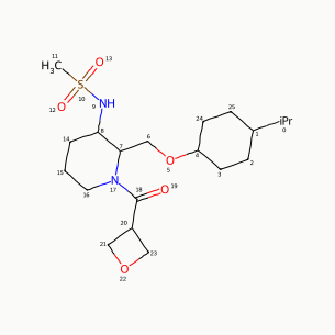 CC(C)C1CCC(OCC2C(NS(C)(=O)=O)CCCN2C(=O)C2COC2)CC1